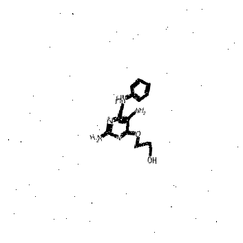 Nc1nc(Nc2ccccc2)c(N)c(OCCO)n1